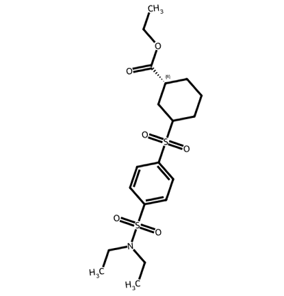 CCOC(=O)[C@@H]1CCCC(S(=O)(=O)c2ccc(S(=O)(=O)N(CC)CC)cc2)C1